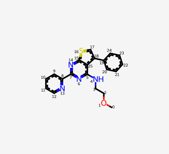 COCCNc1nc(-c2ccccn2)nc2scc(-c3ccccc3)c12